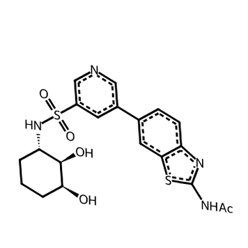 CC(=O)Nc1nc2ccc(-c3cncc(S(=O)(=O)N[C@H]4CCC[C@H](O)[C@@H]4O)c3)cc2s1